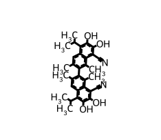 Cc1cc2c(C(C)C)c(O)c(O)c(C#N)c2c(C)c1-c1c(C)cc2c(C(C)C)c(O)c(O)c(C#N)c2c1C